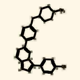 CN1CCC(Cc2ccc(-c3ccc4ncc(-c5ccc(C#N)cc5)n4c3)cc2)CC1